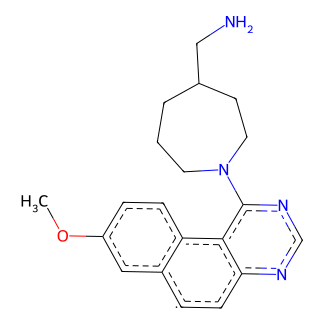 COc1ccc2c([c]cc3ncnc(N4CCCC(CN)CC4)c32)c1